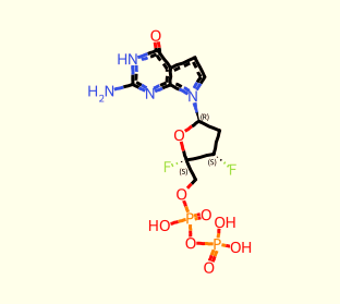 Nc1nc2c(ccn2[C@H]2C[C@H](F)[C@@](F)(COP(=O)(O)OP(=O)(O)O)O2)c(=O)[nH]1